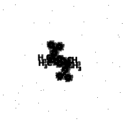 Cc1c(C)n(-c2ccc(C(c3ccccc3)c3ccccc3)cc2)c2c1cc1ccc3c4c(ccc2c14)cc1c(C)c(C)n(-c2ccc(N(c4ccccc4)c4ccccc4)cc2)c13